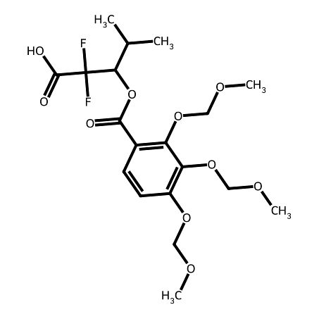 COCOc1ccc(C(=O)OC(C(C)C)C(F)(F)C(=O)O)c(OCOC)c1OCOC